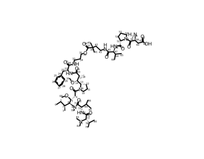 CC[C@H](C)[C@@H]([C@@H](CC(=O)N1CCC[C@H]1[C@H](OC)[C@@H](C)C(=O)N[C@@H](Cc1ccccc1)C(=O)NCCCOC(=O)C(C)(C)CCNC(=O)[C@@H](NC(=O)[C@@H]1CCCN1C(=O)[C@@H](N)CC(=O)O)C(C)C)OC)N(C)C(=O)[C@@H](NC(=O)[C@H](C(C)C)N(C)C)C(C)C